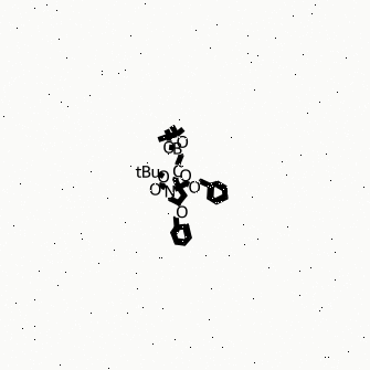 CC(C)(C)OC(=O)N1C[C@H](OCc2ccccc2)CC1(CCCCB1OC(C)(C)C(C)(C)O1)C(=O)OCc1ccccc1